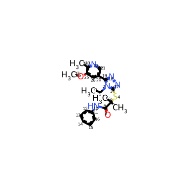 CCn1c(SC(C)(C)C(=O)Nc2ccccc2)nnc1-c1cnc(C)c(OC)c1